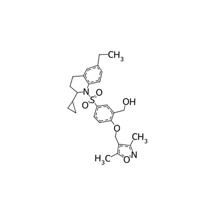 CCc1ccc2c(c1)CCC(C1CC1)N2S(=O)(=O)c1ccc(OCc2c(C)noc2C)c(CO)c1